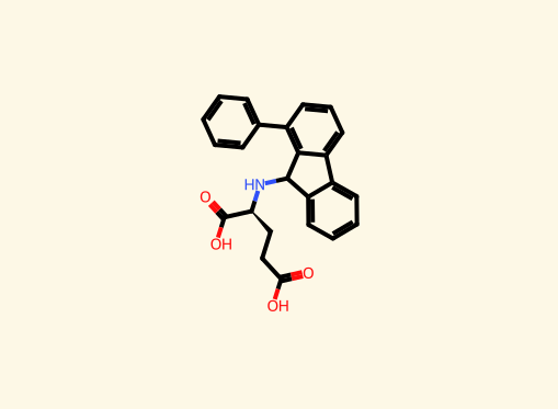 O=C(O)CC[C@H](NC1c2ccccc2-c2cccc(-c3ccccc3)c21)C(=O)O